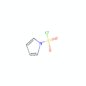 O=S(=O)(Cl)n1cccc1